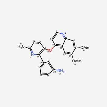 COc1cc2nccc(Oc3ccc(C)nc3-c3cccc(N)c3)c2cc1OC